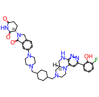 O=C1CC[C@H](N2Cc3ccc(N4CCN(CC5CCC(CN6CCN7c8cc(-c9cccc(F)c9O)nnc8NC[C@H]7C6)CC5)CC4)cc3C2=O)C(=O)N1